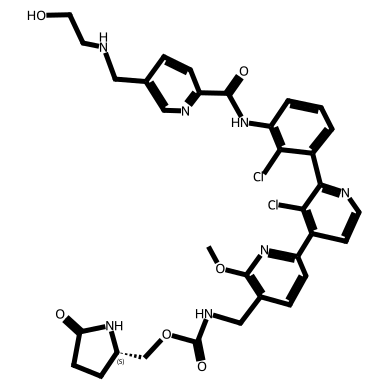 COc1nc(-c2ccnc(-c3cccc(NC(=O)c4ccc(CNCCO)cn4)c3Cl)c2Cl)ccc1CNC(=O)OC[C@@H]1CCC(=O)N1